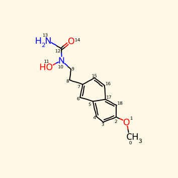 COc1ccc2cc(CCN(O)C(N)=O)ccc2c1